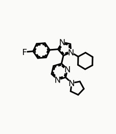 Fc1ccc(-c2ncn(C3CCCCC3)c2-c2ccnc(N3CCCC3)n2)cc1